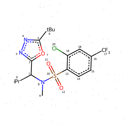 CC(C)C(c1nnc(C(C)(C)C)o1)N(C)S(=O)(=O)c1ccc(C(F)(F)F)cc1Cl